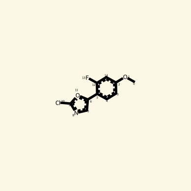 COc1ccc(-c2cnc(Cl)o2)c(F)c1